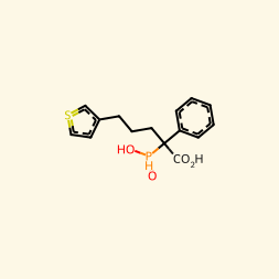 O=C(O)C(CCCc1ccsc1)(c1ccccc1)[PH](=O)O